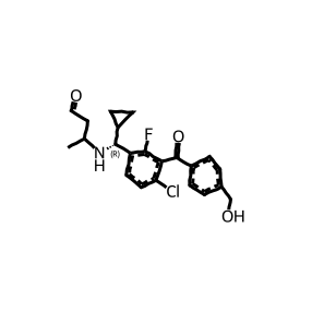 CC(CC=O)N[C@@H](c1ccc(Cl)c(C(=O)c2ccc(CO)cc2)c1F)C1CC1